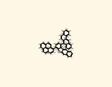 c1ccc2cc3c(cc2c1)oc1c(-c2ccc4ccc5cccc6ccc2c4c56)ccc(-c2c4ccccc4cc4c2ccc2ccccc24)c13